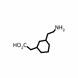 NCCC1CCCC(CC(=O)O)C1